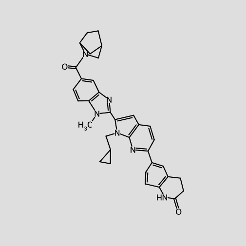 Cn1c(-c2cc3ccc(-c4ccc5c(c4)CCC(=O)N5)nc3n2CC2CC2)nc2cc(C(=O)N3CC4CCC3C4)ccc21